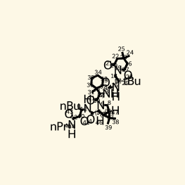 CCCCC(NC(=O)[C@@H]1[C@@H]2[C@H](CN1C(=O)[C@@H](NC(=O)N[C@H](CN1C(=O)CC(C)(C)CC1=O)C(C)(C)C)C1(C)CCCCC1)C2(C)C)C(=O)C(=O)NCCC